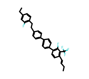 CC/C=C/c1ccc(-c2ccc(-c3ccc(CCc4ccc(CC)cc4F)cc3)cc2)c(F)c1C(F)(F)F